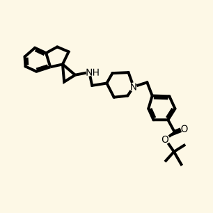 CC(C)(C)OC(=O)c1ccc(CN2CCC(CNC3CC34CCc3ccccc34)CC2)cc1